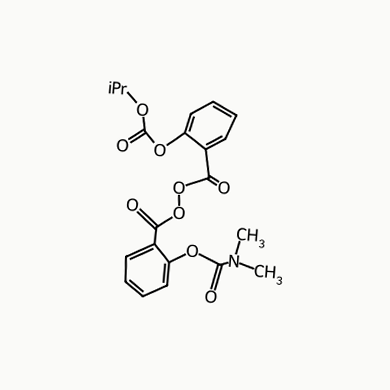 CC(C)OC(=O)Oc1ccccc1C(=O)OOC(=O)c1ccccc1OC(=O)N(C)C